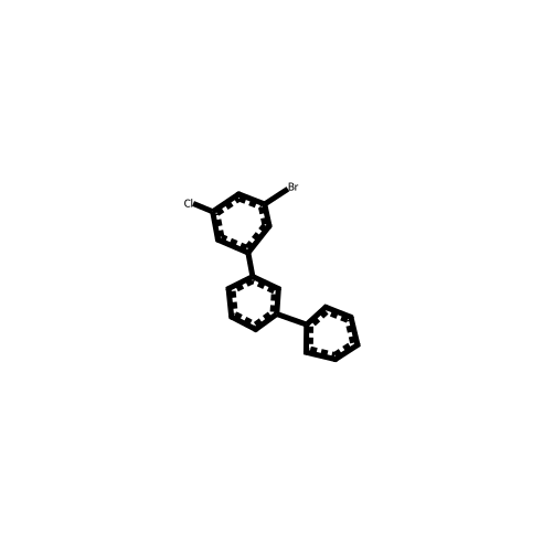 Clc1cc(Br)cc(-c2cccc(-c3ccccc3)c2)c1